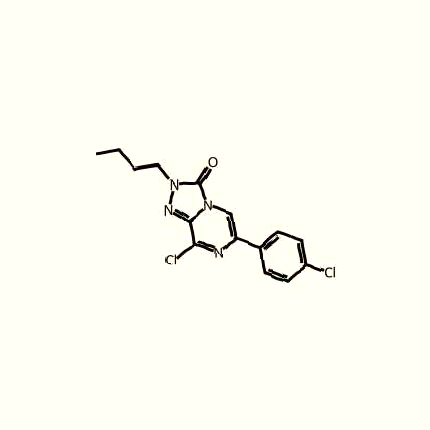 CCCCn1nc2c(Cl)nc(-c3ccc(Cl)cc3)cn2c1=O